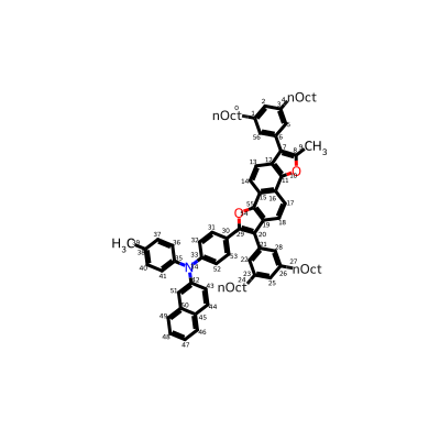 CCCCCCCCc1cc(CCCCCCCC)cc(-c2c(C)oc3c2ccc2c3ccc3c(-c4cc(CCCCCCCC)cc(CCCCCCCC)c4)c(-c4ccc(N(c5ccc(C)cc5)c5ccc6ccccc6c5)cc4)oc32)c1